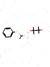 CC(Sc1ccccc1)B(O)OC(C)(C)C(C)(C)O